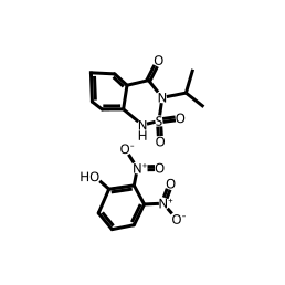 CC(C)N1C(=O)c2ccccc2NS1(=O)=O.O=[N+]([O-])c1cccc(O)c1[N+](=O)[O-]